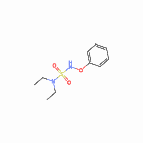 CCN(CC)S(=O)(=O)NOc1c[c]ccc1